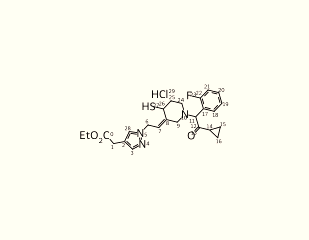 CCOC(=O)Cc1cnn(CC=C2CN(C(C(=O)C3CC3)c3ccccc3F)CCC2S)c1.Cl